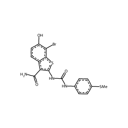 CSc1ccc(NC(=O)Nc2sc3c(Br)c(O)ccc3c2C(N)=O)cc1